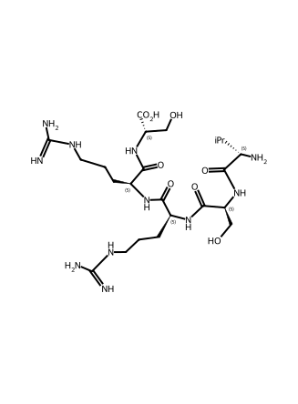 CC(C)[C@H](N)C(=O)N[C@@H](CO)C(=O)N[C@@H](CCCNC(=N)N)C(=O)N[C@@H](CCCNC(=N)N)C(=O)N[C@@H](CO)C(=O)O